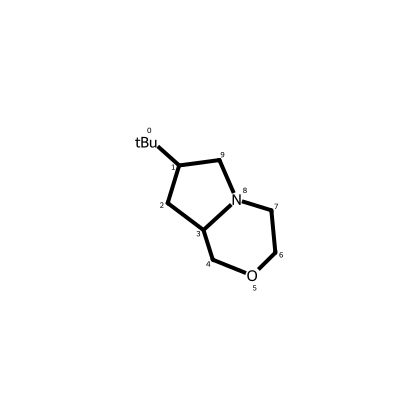 CC(C)(C)C1CC2COCCN2C1